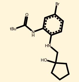 CC(C)(C)C(=O)Nc1cc(Br)ccc1NCC1(O)CCCC1